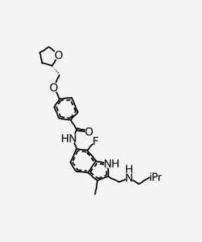 Cc1c(CNCC(C)C)[nH]c2c(F)c(NC(=O)c3ccc(OC[C@@H]4CCCO4)cc3)ccc12